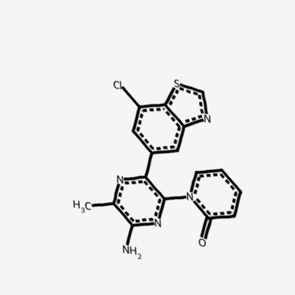 Cc1nc(-c2cc(Cl)c3scnc3c2)c(-n2ccccc2=O)nc1N